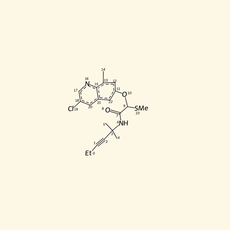 CCC#CC(C)(C)NC(=O)C(Oc1cc(C)c2ncc(Cl)cc2c1)SC